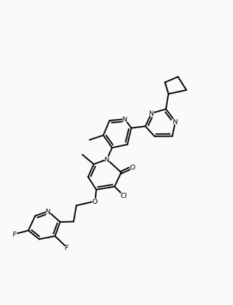 Cc1cnc(-c2ccnc(C3CCC3)n2)cc1-n1c(C)cc(OCCc2ncc(F)cc2F)c(Cl)c1=O